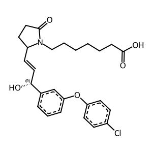 O=C(O)CCCCCCN1C(=O)CCC1C=C[C@@H](O)c1cccc(Oc2ccc(Cl)cc2)c1